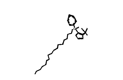 CCCCCCCCCCCCCCCCCC[Si](C)(C1=C(C(C)(C)C)C=CC1)c1ccccc1